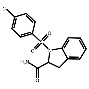 NC(=O)C1Cc2ccccc2N1S(=O)(=O)c1ccc(Cl)cc1